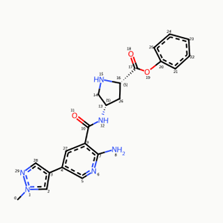 Cn1cc(-c2cnc(N)c(C(=O)N[C@@H]3CN[C@H](C(=O)Oc4ccccc4)C3)c2)cn1